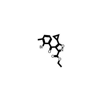 CCOC(=O)c1noc(C2CC2)c1C(=O)c1cccc(C)c1Br